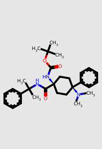 CN(C)[C@]1(c2ccccc2)CC[C@@](NC(=O)OC(C)(C)C)(C(=O)NC(C)(C)c2ccccc2)CC1